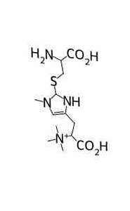 CN1C=C(CC(C(=O)O)[N+](C)(C)C)NC1SCC(N)C(=O)O